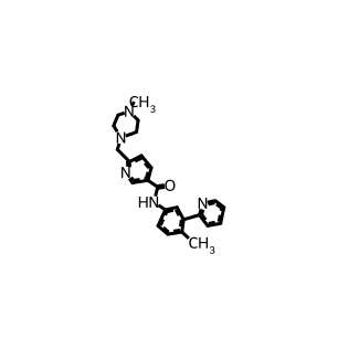 Cc1ccc(NC(=O)c2ccc(CN3CCN(C)CC3)nc2)cc1-c1ccccn1